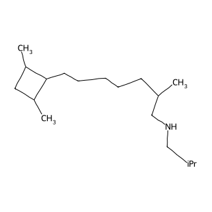 CC(C)CNCC(C)CCCCCC1C(C)CC1C